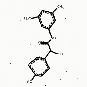 Cc1cc(C)cc(NC(=O)C(O)c2ccc(O)cc2)c1